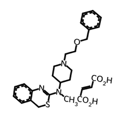 CN(C1=Nc2ccccc2CS1)C1CCN(CCOCc2ccccc2)CC1.O=C(O)/C=C/C(=O)O